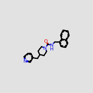 O=C(NCc1cccc2ccccc12)N1CCC(Cc2cccnc2)CC1